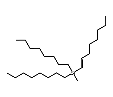 CCCCCCC=C[Si](C)(CCCCCCCC)CCCCCCCC